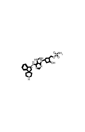 NS(=O)(=O)OCC1CC(N2NNc3c(N[C@H]4CC5(CCNCC5)c5ccccc54)ncnc32)CC1O